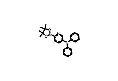 CC1(C)OB(c2ccc(N(c3ccccc3)c3ccccc3)cn2)OC1(C)C